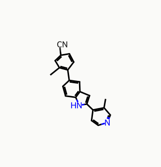 Cc1cc(C#N)ccc1-c1ccc2[nH]c(-c3ccncc3C)cc2c1